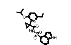 CCc1ccc(OC(C)C)c(C2(C(=O)NS(=O)(=O)c3cccc4[nH]ccc34)CC2)n1